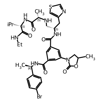 CCNC(=O)[C@@H](NC(=O)[C@H](C)NC[C@H](Cc1cscn1)NC(=O)c1cc(C(=O)N[C@H](C)c2ccc(Br)cc2)cc(N2CC(C)OC2=O)c1)C(C)C